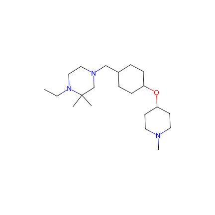 CCN1CCN(CC2CCC(OC3CCN(C)CC3)CC2)CC1(C)C